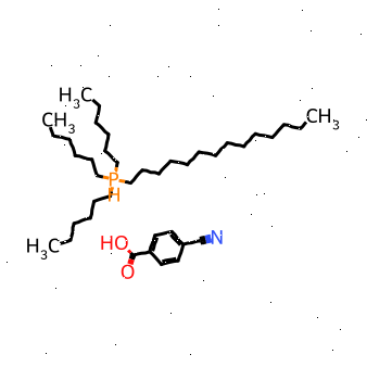 CCCCCCCCCCCCCC[PH](CCCCCC)(CCCCCC)CCCCCC.N#Cc1ccc(C(=O)O)cc1